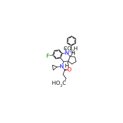 O=C(O)CCC(=O)N(C1CC1)[C@H]1c2cc(F)ccc2[N@@+](Cc2ccccc2)(C(=O)O)[C@@H]2CCC[C@@H]21